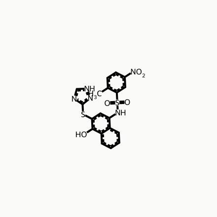 Cc1ccc([N+](=O)[O-])cc1S(=O)(=O)Nc1cc(Sc2nc[nH]n2)c(O)c2ccccc12